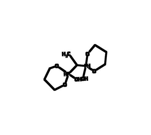 CC([PH]1(O)OCCCO1)[PH]1(O)OCCCO1